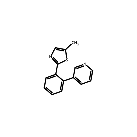 Cc1cnc(-c2cc[c]cc2-c2cccnc2)s1